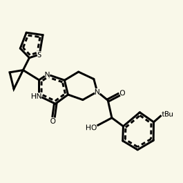 CC(C)(C)c1cccc(C(O)C(=O)N2CCc3nc(C4(c5cccs5)CC4)[nH]c(=O)c3C2)c1